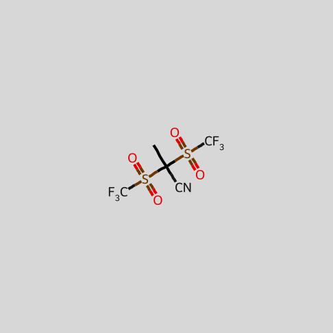 CC(C#N)(S(=O)(=O)C(F)(F)F)S(=O)(=O)C(F)(F)F